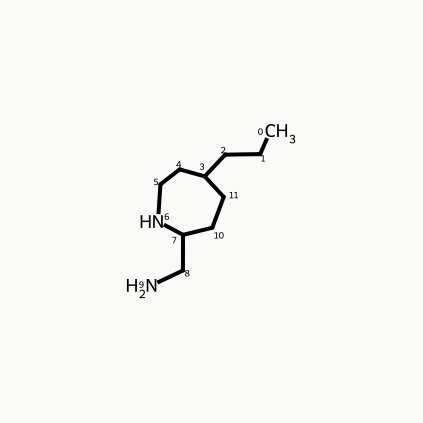 CCCC1CCNC(CN)CC1